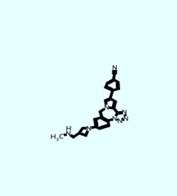 CNCC1CN(c2ccc3c(c2)Cn2cc(-c4ccc(C#N)cc4)cc2-c2nnnn2-3)C1